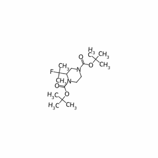 CC(C)(C)OC(=O)N1CCN(C(=O)OC(C)(C)C)C(C(C)(C)F)C1